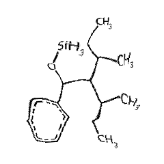 CCC(C)C(C(C)CC)C(O[SiH3])c1ccccc1